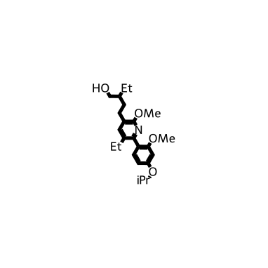 CCc1cc(CCC(CC)CO)c(OC)nc1-c1ccc(OC(C)C)cc1OC